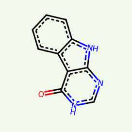 O=c1[nH]cnc2[nH]c3ccccc3c12